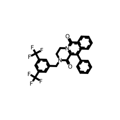 O=C1c2c(-c3ccccc3)c3ccccc3c(=O)n2CCN1Cc1cc(C(F)(F)F)cc(C(F)(F)F)c1